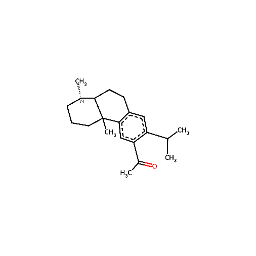 CC(=O)c1cc2c(cc1C(C)C)CCC1[C@@H](C)CCCC21C